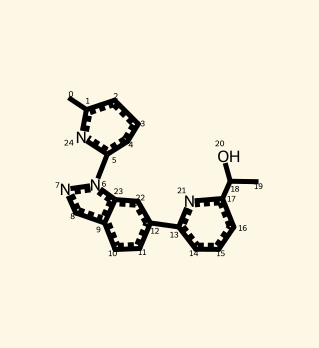 Cc1cccc(-n2ncc3ccc(-c4cccc(C(C)O)n4)cc32)n1